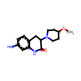 COC1CCN(C2Cc3ccc([NH])cc3NC2=O)CC1